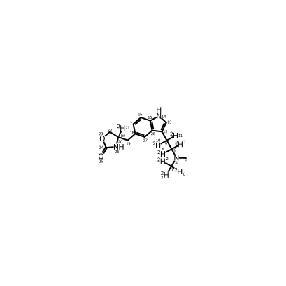 [2H]C([2H])([2H])N(C)C([2H])([2H])C([2H])([2H])c1c[nH]c2ccc(C[C@@]3([2H])COC(=O)N3)cc12